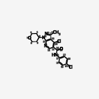 Cc1nn(C2CCOCC2)c2ncc(C(=O)Nc3ccc(Cl)cc3)c(Cl)c12